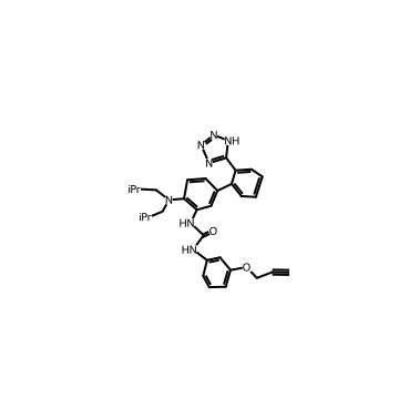 C#CCOc1cccc(NC(=O)Nc2cc(-c3ccccc3-c3nnn[nH]3)ccc2N(CC(C)C)CC(C)C)c1